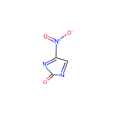 O=C1N=CC([N+](=O)[O-])=N1